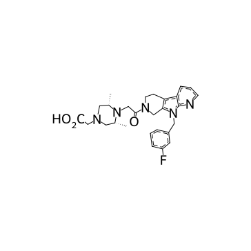 C[C@@H]1CN(CC(=O)O)C[C@H](C)N1CC(=O)N1CCc2c(n(Cc3cccc(F)c3)c3ncccc23)C1